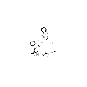 C=CCNC(=O)C(=O)C(CCCC)NC(=O)[C@@H]1[C@@H]2[C@H](CN1C(=O)[C@@H](NC(=O)N[C@H](CN1Cc3ccccc3S1(=O)=O)C(C)(C)C)C1CCCCC1)C2(C)C